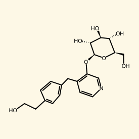 OCCc1ccc(Cc2ccncc2O[C@@H]2O[C@H](CO)[C@@H](O)[C@H](O)[C@H]2O)cc1